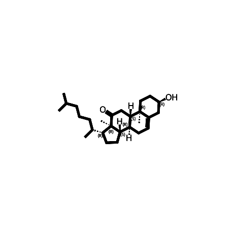 CC(C)CCCC(C)[C@H]1CC[C@H]2[C@@H]3CC=C4C[C@H](O)CC[C@]4(C)[C@H]3CC(=O)[C@]12C